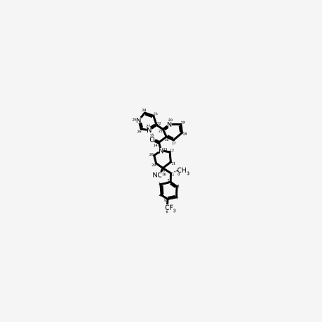 C[C@H](c1ccc(C(F)(F)F)cc1)C1(C#N)CCN(C(=O)c2cccnc2-c2ccncn2)CC1